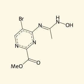 COC(=O)c1ncc(Br)c(/N=C(\C)NO)n1